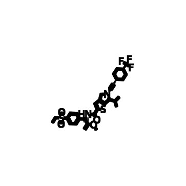 C=C(OC)[C@H](NC(=O)c1cc2c(s1)C(C(C)C)N(C#C[C@H]1CC[C@H](C(F)(F)F)CC1)C2)c1ccc(S(=O)(=O)CC)cc1